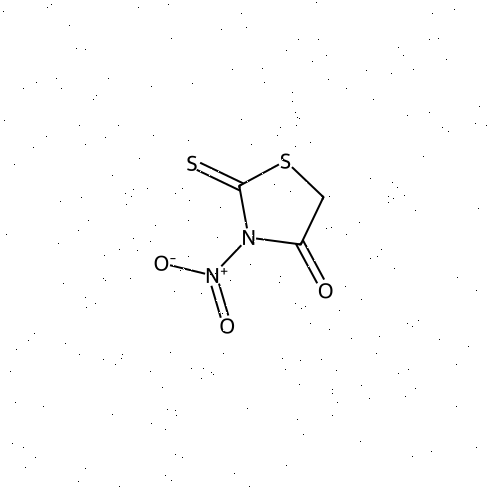 O=C1CSC(=S)N1[N+](=O)[O-]